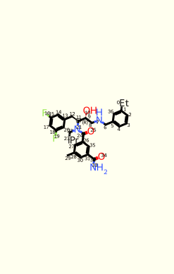 CCc1cccc(CNC[C@@H](O)[C@H](Cc2cc(F)cc(F)c2)N(CC(C)C)C(=O)c2cc(C)cc(C(N)=O)c2)c1